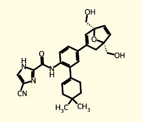 CC1(C)CC=C(c2cc(C3=C[C@@]4(CO)C=C[C@@](CO)(C3)O4)ccc2NC(=O)c2nc(C#N)c[nH]2)CC1